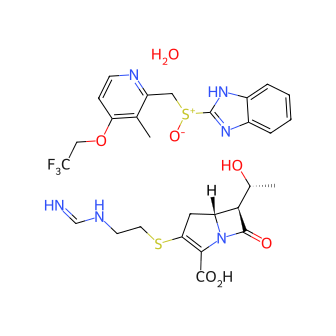 C[C@@H](O)[C@H]1C(=O)N2C(C(=O)O)=C(SCCNC=N)C[C@H]12.Cc1c(OCC(F)(F)F)ccnc1C[S+]([O-])c1nc2ccccc2[nH]1.O